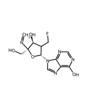 C=N[C@]1(CO)O[C@@H](n2cnc3c(O)ncnc32)C(CF)[C@@H]1O